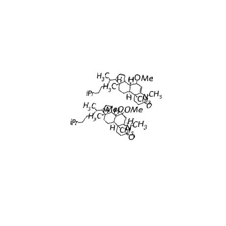 COC1(OC)C[C@H]2N(C)C(=O)CC[C@]2(C)[C@H]2CC[C@]3(C)[C@@H]([C@H](C)CCCC(C)C)CC[C@H]3[C@@H]21.COC1C=C2N(C)C(=O)CC[C@]2(C)[C@H]2CC[C@]3(C)[C@@H]([C@H](C)CCCC(C)C)CC[C@H]3[C@H]12